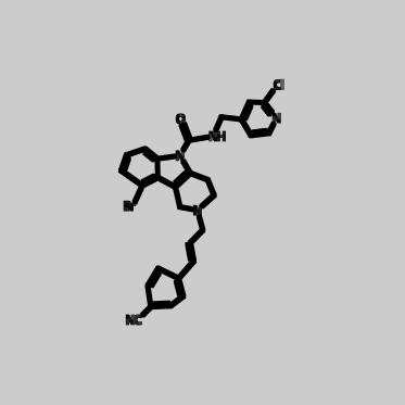 N#Cc1ccc(C=CCN2CCc3c(c4c(Br)cccc4n3C(=O)NCc3ccnc(Cl)c3)C2)cc1